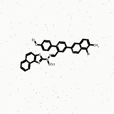 CCCCCCCCN(/N=C/c1cc(-c2ccc3c(Br)c(C)ccc3c2)ccc1-c1ccc(OCC)cc1)c1nc2c(ccc3ccccc32)s1